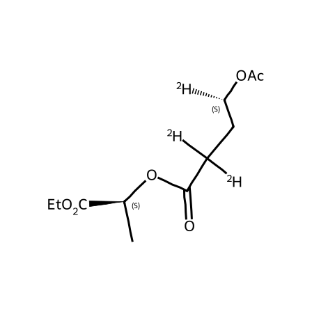 [2H][C@@H](CC([2H])([2H])C(=O)O[C@@H](C)C(=O)OCC)OC(C)=O